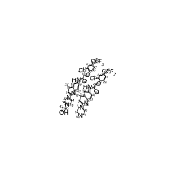 Cc1cc(N2CCN(C)CC2)nc2ccc(NC(=O)COc3ccc(OC(F)(F)F)cc3Cl)cc12.Cc1cc(N2CCN(CCO)CC2)nc2ccc(NC(=O)COc3ccc(OC(F)(F)F)cc3Cl)cc12